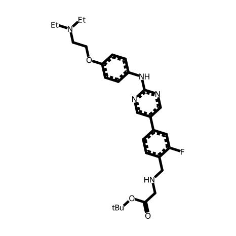 CCN(CC)CCOc1ccc(Nc2ncc(-c3ccc(CNCC(=O)OC(C)(C)C)c(F)c3)cn2)cc1